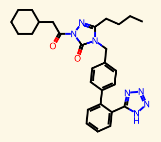 CCCCc1nn(C(=O)CC2CCCCC2)c(=O)n1Cc1ccc(-c2ccccc2-c2nnn[nH]2)cc1